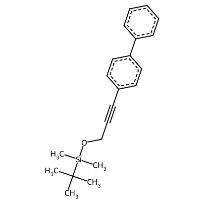 CC(C)(C)[Si](C)(C)OCC#Cc1ccc(-c2ccccc2)cc1